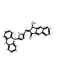 O=C1/C(=C\c2ccc(N3c4ccccc4Cc4ccccc43)s2)C(O)c2cc3ccccc3cc21